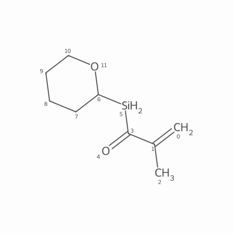 C=C(C)C(=O)[SiH2]C1CCCCO1